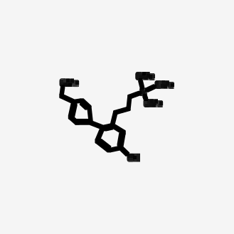 COCc1ccc(-c2ccc(O)cc2CCC[Si](OC)(OC)OC)cc1